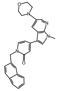 Cn1cc(-c2ccn(Cc3ccc4ccccc4c3)c(=O)c2)c2cc(N3CCOCC3)cnc21